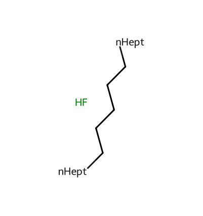 CCCCCCCCCCCCCCCCCCC.F